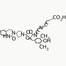 Cc1cc(C[C@@H](OC(=O)N2CCC(N3CCc4ccccc4NC3=O)CC2)C(=O)N=C=C=NC=C=C=CCC(=O)O)cc(C)c1O